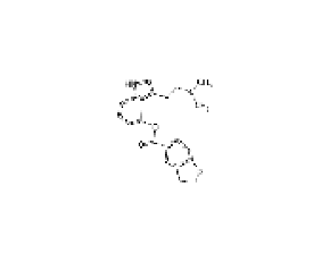 CN(C)CCc1c[nH]c2cccc(OC(=O)c3ccc4c(c3)CCO4)c12